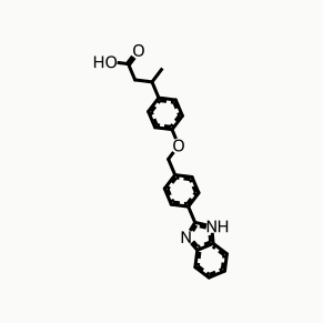 CC(CC(=O)O)c1ccc(OCc2ccc(-c3nc4ccccc4[nH]3)cc2)cc1